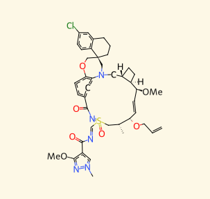 C=CCO[C@H]1/C=C/[C@H](OC)[C@@H]2CC[C@H]2CN2C[C@@]3(CCCc4cc(Cl)ccc43)COc3ccc(cc32)C(=O)N=S(=O)(/C=N/C(=O)c2cn(C)nc2OC)C[C@H]1C